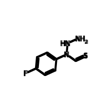 NNN(C=S)c1ccc(F)cc1